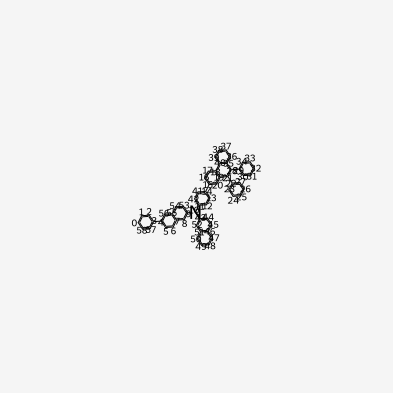 c1ccc(-c2ccc3cc(N(c4ccc(-c5ccc6c(c5)c(-c5ccccc5)c(-c5ccccc5)c5ccccc56)cc4)c4ccc5ccccc5c4)ccc3c2)cc1